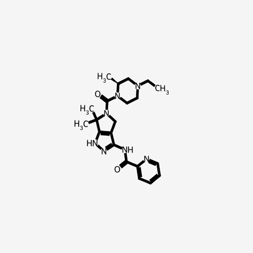 CCN1CCN(C(=O)N2Cc3c(NC(=O)c4ccccn4)n[nH]c3C2(C)C)[C@@H](C)C1